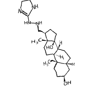 C[C@]12CC[C@H](O)C[C@H]1CC[C@@H]1[C@@H]2CC[C@]2(C)[C@@H](CNNC3=NCCN3)CC[C@]12O